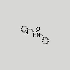 O=C(C=Cc1ccccn1)NCc1ccccc1